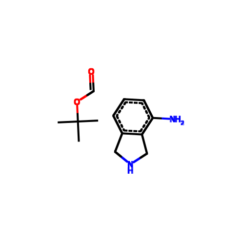 CC(C)(C)OC=O.Nc1cccc2c1CNC2